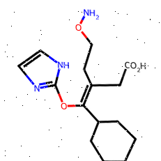 NOCCC(CC(=O)O)=C(Oc1ncc[nH]1)C1CCCCC1